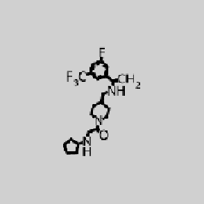 C=C(NCC1CCN(C(=O)CNC2CCCC2)CC1)c1cc(F)cc(C(F)(F)F)c1